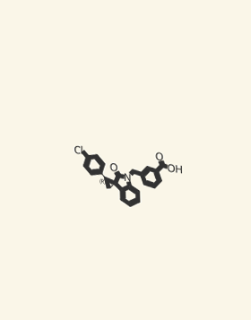 O=C(O)c1cccc(CN2C(=O)[C@@]3(C[C@@H]3c3ccc(Cl)cc3)c3ccccc32)c1